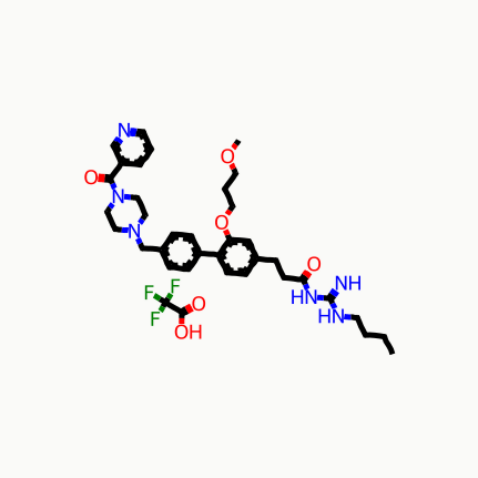 CCCCNC(=N)NC(=O)CCc1ccc(-c2ccc(CN3CCN(C(=O)c4cccnc4)CC3)cc2)c(OCCCOC)c1.O=C(O)C(F)(F)F